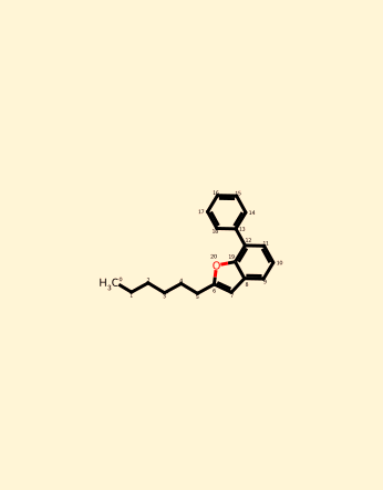 CCC[CH]CCc1cc2cccc(-c3ccccc3)c2o1